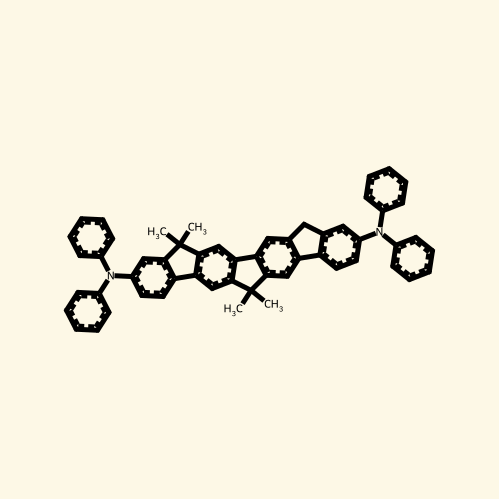 CC1(C)c2cc(N(c3ccccc3)c3ccccc3)ccc2-c2cc3c(cc21)-c1cc2c(cc1C3(C)C)-c1ccc(N(c3ccccc3)c3ccccc3)cc1C2